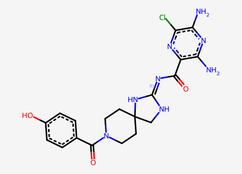 Nc1nc(N)c(C(=O)/N=C2\NCC3(CCN(C(=O)c4ccc(O)cc4)CC3)N2)nc1Cl